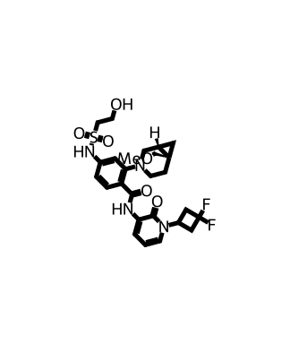 COC[C@@]12CCN(c3cc(NS(=O)(=O)CCO)ccc3C(=O)Nc3cccn(C4CC(F)(F)C4)c3=O)C[C@@H]1C2